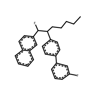 CCCCCC(c1ccc(-c2cccc(F)c2)cc1)C(F)c1ccc2ccccc2c1